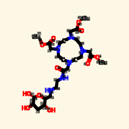 CC(C)(C)OC(=O)CN1CCN(CC(=O)NCCNCC2O[C@@H](O)C(O)C[C@@H]2O)CCN(CC(=O)OC(C)(C)C)CCN(CC(=O)OC(C)(C)C)CC1